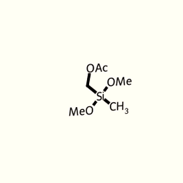 CO[Si](C)(COC(C)=O)OC